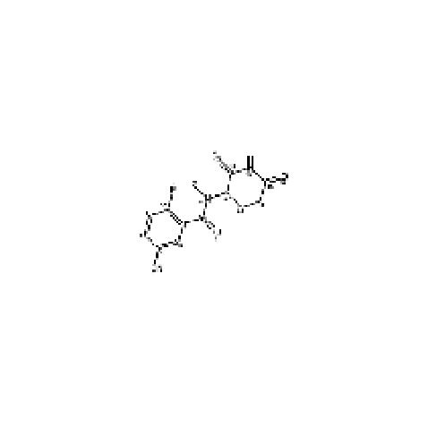 CN(C(=O)c1cc(C#N)ccc1F)C1CCC(=O)NC1=O